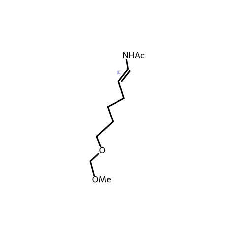 COCOCCCC/C=C/NC(C)=O